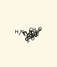 CN(C)Cc1c(-c2ccc(N)cc2)sc2c1c(=O)n(-c1cccc(OCC3COC3)n1)c(=O)n2Cc1c(F)cccc1F